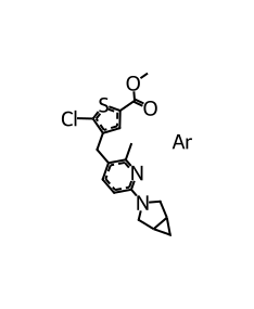 COC(=O)c1cc(Cc2ccc(N3CC4CC4C3)nc2C)c(Cl)s1.[Ar]